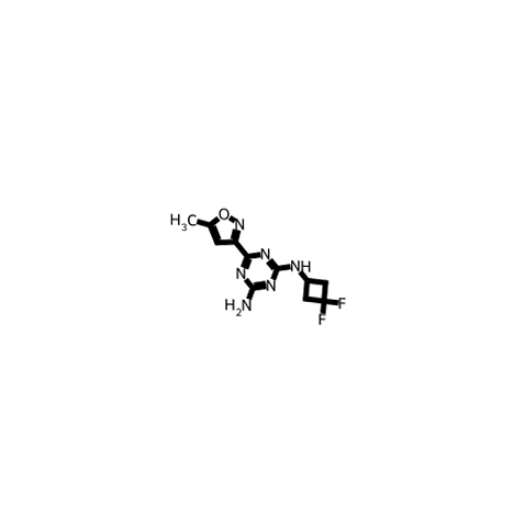 Cc1cc(-c2nc(N)nc(NC3CC(F)(F)C3)n2)no1